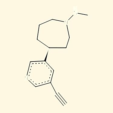 C#Cc1cncc([C@H]2CCCN(NC)CC2)c1